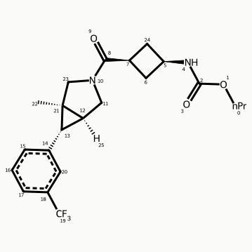 CCCOC(=O)N[C@H]1C[C@@H](C(=O)N2C[C@H]3[C@H](c4cccc(C(F)(F)F)c4)[C@@]3(C)C2)C1